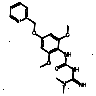 COc1cc(OCc2ccccc2)cc(OC)c1NC(=O)NC(=N)N(C)C